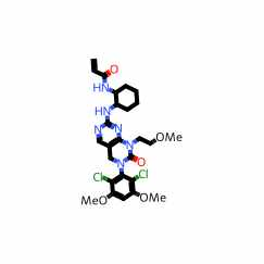 C=CC(=O)NC1CCCCC1Nc1ncc2c(n1)N(CCOC)C(=O)N(c1c(Cl)c(OC)cc(OC)c1Cl)C2